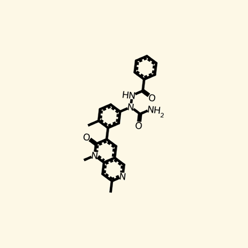 Cc1cc2c(cn1)cc(-c1cc(N(NC(=O)c3ccccc3)C(N)=O)ccc1C)c(=O)n2C